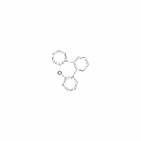 c1ccc2c(c1)Oc1ccccc1-c1ccccc1-2